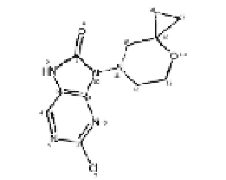 O=c1[nH]c2cnc(Cl)nc2n1N1CCOC2(CC2)C1